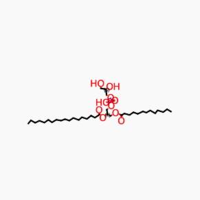 CCCCCCCCCCCCCCCCCC(=O)O[C@H](COC(=O)CCCCCCCCCCCC)COP(=O)(O)OC[C@@H](O)CO